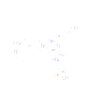 COCCOc1nc(C(=O)NCCS(C)(=O)=O)cc(N2CCC(c3c[nH]c4ncccc34)CC2)n1